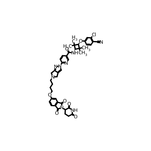 CC1(C)[C@H](NC(=O)c2ccc(-n3cc4c(n3)CN(CCCCOc3ccc5c(c3)C(=O)N(C3CCC(=O)NC3=O)C5=O)C4)nc2)C(C)(C)[C@H]1Oc1ccc(C#N)c(Cl)c1